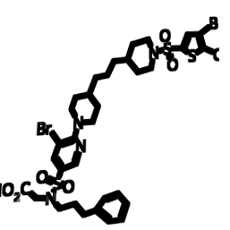 O=C(O)CN(CCCc1ccccc1)S(=O)(=O)c1cnc(N2CCC(CCCC3CCN(S(=O)(=O)c4cc(Br)c(Cl)s4)CC3)CC2)c(Br)c1